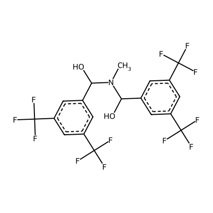 CN(C(O)c1cc(C(F)(F)F)cc(C(F)(F)F)c1)C(O)c1cc(C(F)(F)F)cc(C(F)(F)F)c1